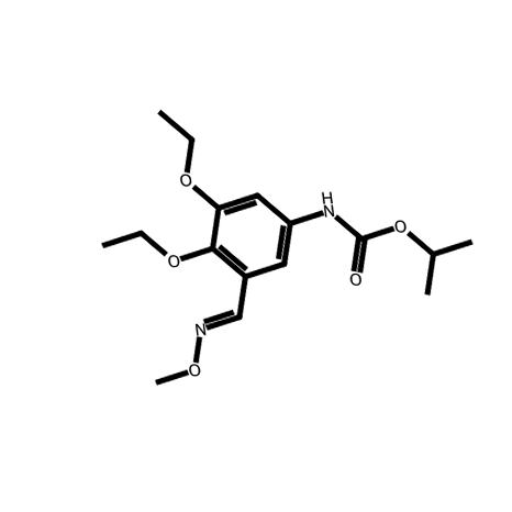 CCOc1cc(NC(=O)OC(C)C)cc(C=NOC)c1OCC